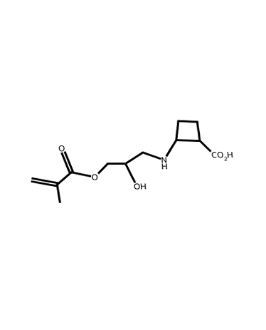 C=C(C)C(=O)OCC(O)CNC1CCC1C(=O)O